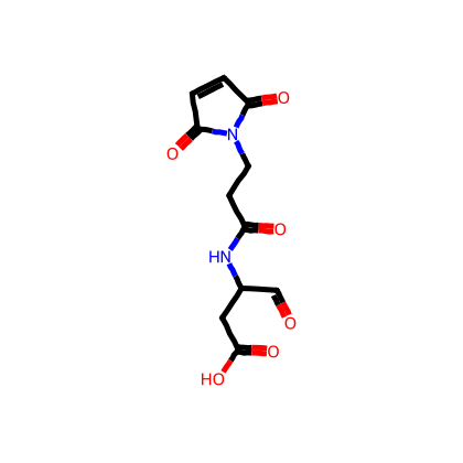 O=CC(CC(=O)O)NC(=O)CCN1C(=O)C=CC1=O